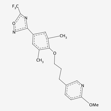 COc1ccc(CCCOc2c(C)cc(-c3noc(C(F)(F)F)n3)cc2C)cn1